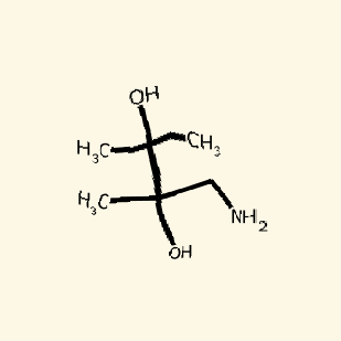 CC(C)(O)C(C)(O)CN